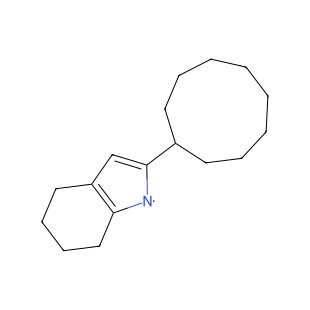 C1=C(C2CCCCCCCC2)[N]C2=C1CCCC2